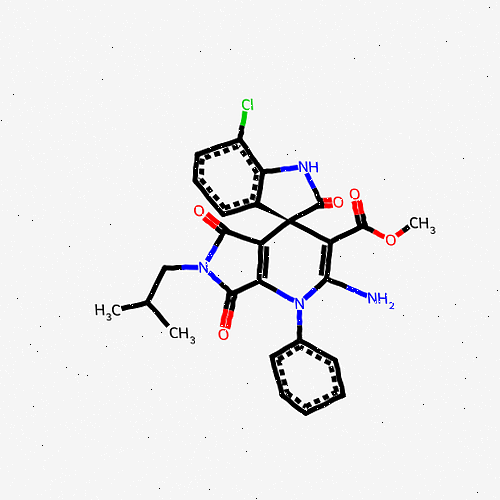 COC(=O)C1=C(N)N(c2ccccc2)C2=C(C(=O)N(CC(C)C)C2=O)[C@]12C(=O)Nc1c(Cl)cccc12